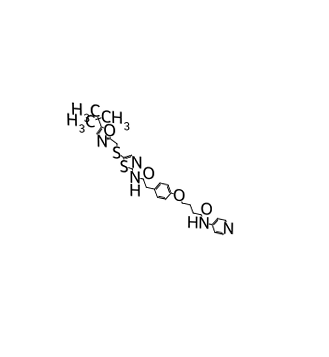 CC(C)(C)c1cnc(CSc2cnc(NC(=O)Cc3ccc(OCCCC(=O)Nc4ccncc4)cc3)s2)o1